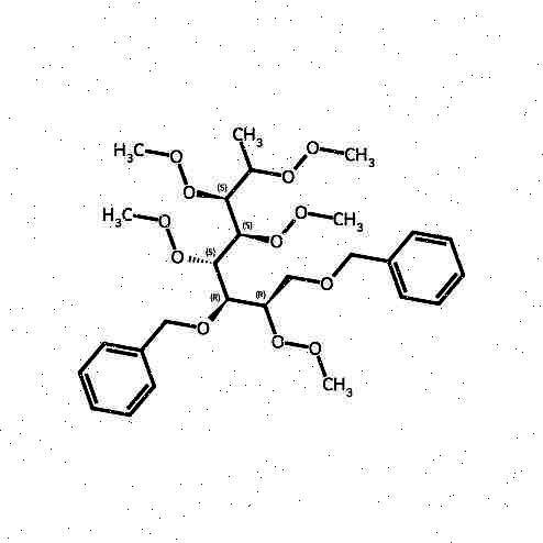 COOC(C)[C@H](OOC)[C@@H](OOC)[C@@H](OOC)[C@H](OCc1ccccc1)[C@@H](COCc1ccccc1)OOC